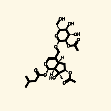 CC(=O)O[C@H]1[C@H](OCC2=CO[C@@H](OC(=O)CC(C)C)[C@H]3[C@@H]2C[C@H](OC(C)=O)[C@@]3(C)O)O[C@H](CO)[C@@H](O)[C@@H]1O